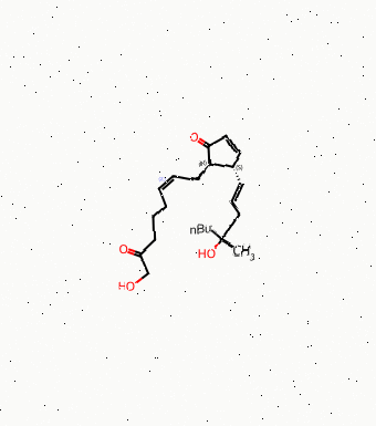 CCCCC(C)(O)CC=C[C@H]1C=CC(=O)[C@@H]1C/C=C\CCCC(=O)CO